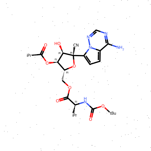 CC(C)C(=O)O[C@H]1[C@@H](O)[C@](C#N)(c2ccc3c(N)ncnn23)O[C@@H]1COC(=O)[C@@H](NC(=O)OC(C)(C)C)C(C)C